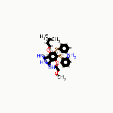 COCCOc1c(Sc2ccccc2N)c(Sc2ccccc2)c(OCCC(C)C)c2c1C(=N)NC2=N